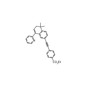 CCOC(=O)c1ccc(C#Cc2ccc3c(c2)C(c2ccccn2)=CCC3(C)C)cc1